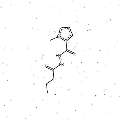 CCCC(=O)NNC(=O)c1cccn1C